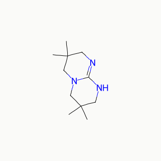 CC1(C)CN=C2NCC(C)(C)CN2C1